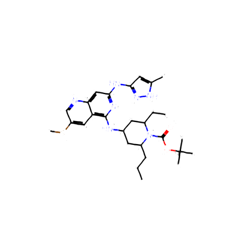 CCCC1CC(Nc2nc(Nc3cc(C)[nH]n3)cc3ncc(SC)cc23)CC(CC)N1C(=O)OC(C)(C)C